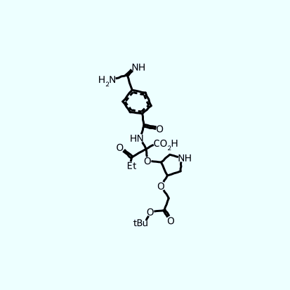 CCC(=O)C(NC(=O)c1ccc(C(=N)N)cc1)(OC1CNCC1OCC(=O)OC(C)(C)C)C(=O)O